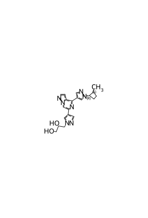 C[C@H]1CC[C@H]1n1cc(-c2nc(-c3cnn(CC(O)CO)c3)cn3nccc23)cn1